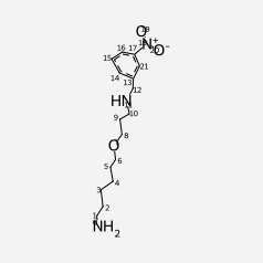 NCCCCCCOCCCNCc1cccc([N+](=O)[O-])c1